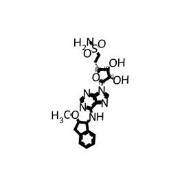 COC1Cc2ccccc2C1Nc1ncnc2c1ncn2[C@@H]1O[C@H](CCS(N)(=O)=O)[C@@H](O)[C@H]1O